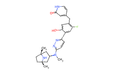 CN(c1ccc(-c2cc(F)c(Cc3cc[nH]c(=O)c3)cc2O)nn1)[C@H]1C[C@]2(C)CC[C@](C)(C1)N2